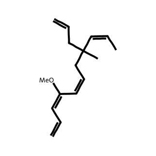 C=C/C=C(\C=C/CC(C)(/C=C\C)CC=C)OC